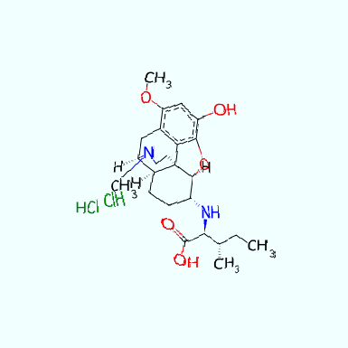 CC[C@H](C)[C@H](N[C@@H]1CC[C@H]2[C@H]3Cc4c(OC)cc(O)c5c4[C@@]2(CCN3C)[C@H]1O5)C(=O)O.Cl.Cl